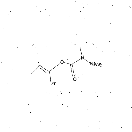 C/C=C(/OC(=O)N(C)NC)C(C)C